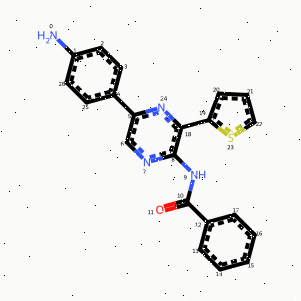 Nc1ccc(-c2cnc(NC(=O)c3ccccc3)c(-c3cccs3)n2)cc1